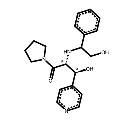 O=C([C@H](NC(CO)c1ccccc1)[C@@H](O)c1ccncc1)N1CCCC1